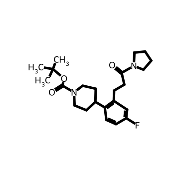 CC(C)(C)OC(=O)N1CCC(c2ccc(F)cc2CCC(=O)N2CCCC2)CC1